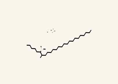 CCCCCCCCCCCCCCCCCCC(C)C(CCCCC)N(C)C.COS(=O)(=O)O